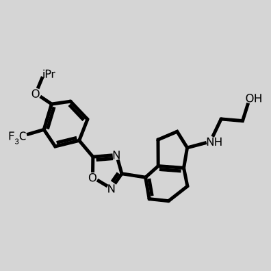 CC(C)Oc1ccc(-c2nc(C3=CCCC4=C3CCC4NCCO)no2)cc1C(F)(F)F